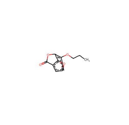 CCCOc1c2c3oc1cc3C(=O)O2